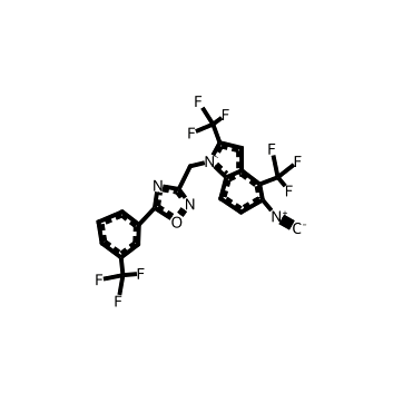 [C-]#[N+]c1ccc2c(cc(C(F)(F)F)n2Cc2noc(-c3cccc(C(F)(F)F)c3)n2)c1C(F)(F)F